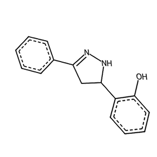 Oc1ccccc1C1CC(c2ccccc2)=NN1